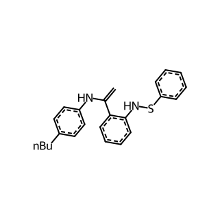 C=C(Nc1ccc(CCCC)cc1)c1ccccc1NSc1ccccc1